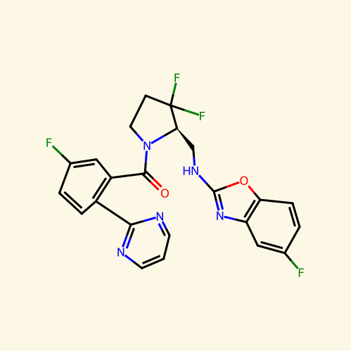 O=C(c1cc(F)ccc1-c1ncccn1)N1CCC(F)(F)[C@H]1CNc1nc2cc(F)ccc2o1